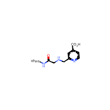 CCCCCNC(=O)CNCc1cc(C(=O)O)ccn1